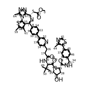 COC(=O)C[C@@H]1N=C(c2ccc(-c3ccc(CCC(=O)N[C@H](C(=O)N4C[C@H](O)C[C@H]4C(=O)N[C@@H](C)c4ccc(-c5scnc5C)cc4)C(C)(C)C)nc3)cc2)c2c(sc(C)c2C)-n2c(C)nnc21